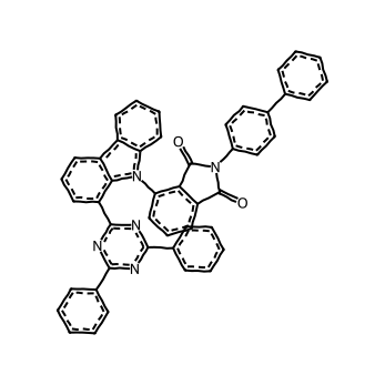 O=C1c2cccc(-n3c4ccccc4c4cccc(-c5nc(-c6ccccc6)nc(-c6ccccc6)n5)c43)c2C(=O)N1c1ccc(-c2ccccc2)cc1